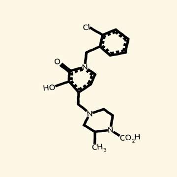 CC1CN(Cc2ccn(Cc3ccccc3Cl)c(=O)c2O)CCN1C(=O)O